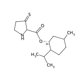 CC1CCC(C(C)C)[C@H](OC(=O)C2NCCC2=S)C1